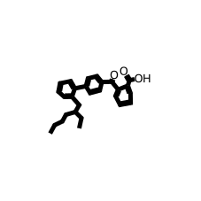 CCCCC(CC)Cc1ccccc1-c1ccc(C(=O)c2ccccc2C(=O)O)cc1